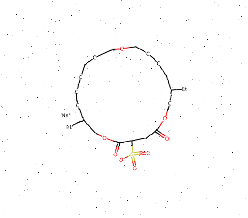 CCC1CCCCOCCCCCCC(CC)COC(=O)C(S(=O)(=O)[O-])CC(=O)OC1.[Na+]